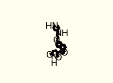 O=C1CCC(c2coc3ccc4cc(OCCNC5CCNCC5)ccc4c23)C(=O)N1